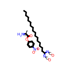 CCCCCCCCCCCCCCCCCC(N=C=O)N=C=O.C[C@H](N)C(=O)Oc1ccc([N+](=O)[O-])cc1